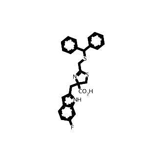 O=C(O)C1(Cc2cc3ccc(F)cc3[nH]2)CSC(CSC(c2ccccc2)c2ccccc2)=N1